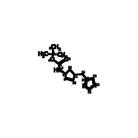 CC(C)(C)OC(=O)N[C@@H]1C=C[C@H](Cn2cncn2)C1